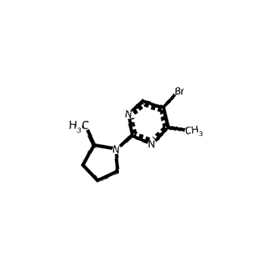 Cc1nc(N2CCCC2C)ncc1Br